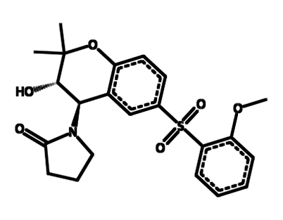 COc1ccccc1S(=O)(=O)c1ccc2c(c1)[C@@H](N1CCCC1=O)[C@H](O)C(C)(C)O2